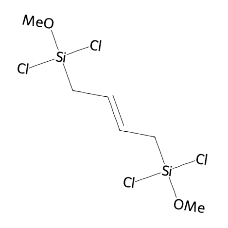 CO[Si](Cl)(Cl)C/C=C/C[Si](Cl)(Cl)OC